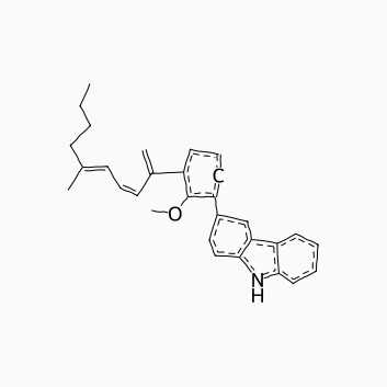 C=C(/C=C\C=C(/C)CCCC)c1cccc(-c2ccc3[nH]c4ccccc4c3c2)c1OC